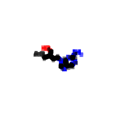 CC(=O)OCC(CO)CCn1cnc2cnc(N)nc21